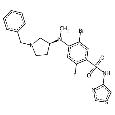 CN(c1cc(F)c(S(=O)(=O)Nc2cscn2)cc1Br)[C@H]1CCN(Cc2ccccc2)C1